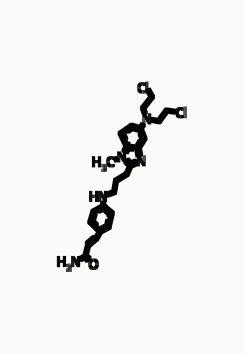 Cn1c(CCCNc2ccc(/C=C/C(N)=O)cc2)nc2cc(N(CCCl)CCCl)ccc21